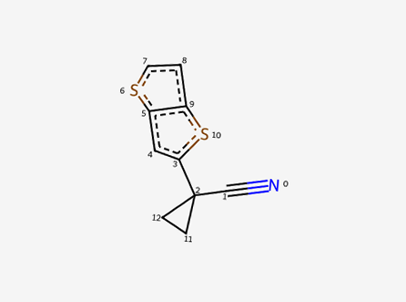 N#CC1(c2cc3sccc3s2)CC1